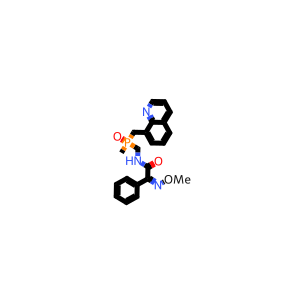 CO/N=C(\C(=O)NCP(C)(=O)Cc1cccc2cccnc12)c1ccccc1